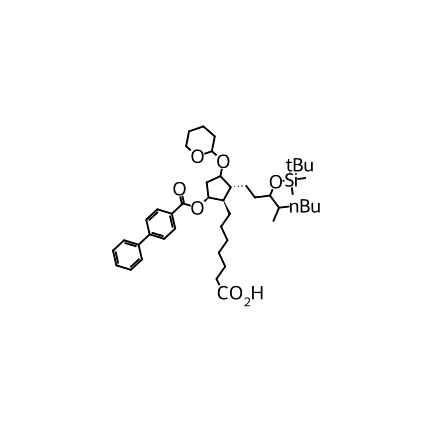 CCCCC(C)C(CC[C@H]1C(OC2CCCCO2)C[C@H](OC(=O)c2ccc(-c3ccccc3)cc2)[C@@H]1CCCCCCC(=O)O)O[Si](C)(C)C(C)(C)C